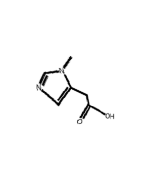 Cn1cncc1CC(=O)O